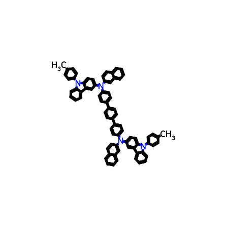 Cc1ccc(-n2c3ccccc3c3cc(N(c4ccc(-c5ccc(-c6ccc(N(c7ccc8ccccc8c7)c7ccc8c(c7)c7ccccc7n8-c7ccc(C)cc7)cc6)cc5)cc4)c4ccc5ccccc5c4)ccc32)cc1